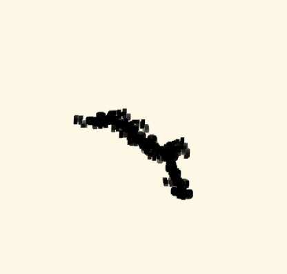 C=C1C[C@H]2C=Nc3cc(OCCCC(=O)Nc4cn(C)c(C(=O)Nc5cc(C(=O)Nc6cc(C(=O)NCCCOC(=O)[C@H](NC(=O)CCOCCOCCNC(=O)CCN7C(=O)C=CC7=O)C(C)C)n(C)c6)n(C)c5)n4)c(OC)cc3C(=O)N2C1